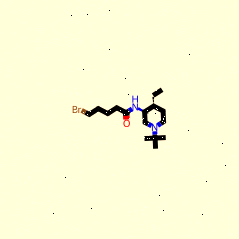 CC[C@@H]1CCN(C(C)(C)C)C[C@H]1NC(=O)CCCCBr